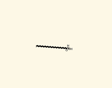 O=C(CCCCCCCCCCCCCCCCCCCCCCCI)NO